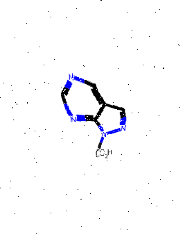 O=C(O)n1ncc2cncnc21